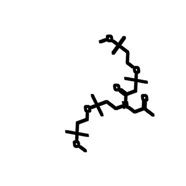 COC(C)(C)CCOC(C)(C)CCN(CC(C)=O)C(=O)CC(C)(C)OCCC(C)(C)OC